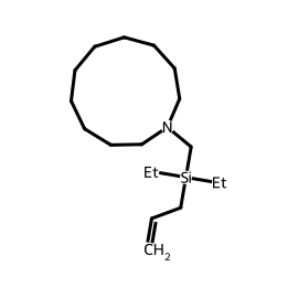 C=CC[Si](CC)(CC)CN1CCCCCCCCCC1